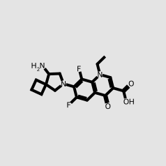 CCn1cc(C(=O)O)c(=O)c2cc(F)c(N3CC(N)C4(CCC4)C3)c(F)c21